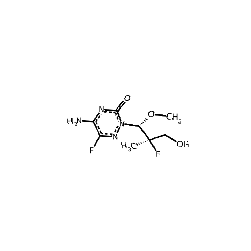 CO[C@@H](n1nc(F)c(N)nc1=O)[C@](C)(F)CO